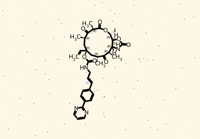 C=C[C@]1(OC(=O)NC/C=C/c2ccc(-c3ncccn3)cc2)C[C@@H](C)C(=O)[C@@H](C)C(=O)O[C@H](I)[C@H]2OC(=O)N[C@@H]2[C@@H](C)C(=O)[C@H](C)C1